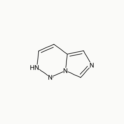 C1=Cc2cncn2[N]N1